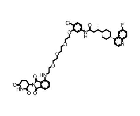 C[C@@H](CC(=O)Nc1ccc(Cl)c(OCCOCCOCCOCCNc2cccc3c2C(=O)N(C2CCC(=O)NC2=O)C3=O)c1)[C@H]1CC[C@@H](c2ccnc3ccc(F)cc32)CC1